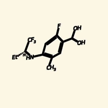 CC[C@@H](Nc1cc(F)c(C(O)O)cc1C)C(F)(F)F